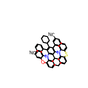 N#Cc1cccc(-c2c(C3CCCCC3)c(-c3cccc(C#N)c3)c(N3c4ccccc4Sc4ccccc43)c(C3CCCCC3)c2N2c3ccccc3Oc3ccccc32)c1